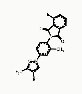 Cc1cc(-n2cc(Br)c(C(F)(F)F)n2)ccc1N1C(=O)c2cccc(I)c2C1=O